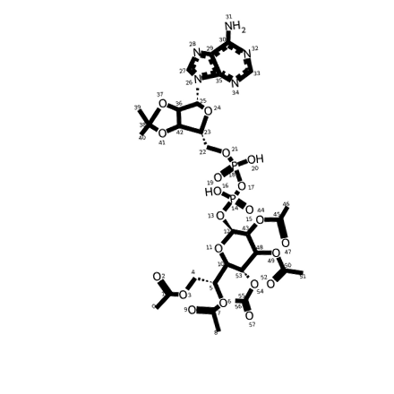 CC(=O)OC[C@@H](OC(C)=O)C1O[C@@H](OP(=O)(O)OP(=O)(O)OC[C@H]2O[C@@H](n3cnc4c(N)ncnc43)C3OC(C)(C)OC32)C(OC(C)=O)C(OC(C)=O)[C@@H]1OC(C)=O